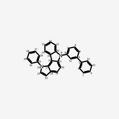 c1ccc(-c2cccc(-n3c4ccccc4c4c5c(ccc43)ccn5-c3ccccc3)c2)cc1